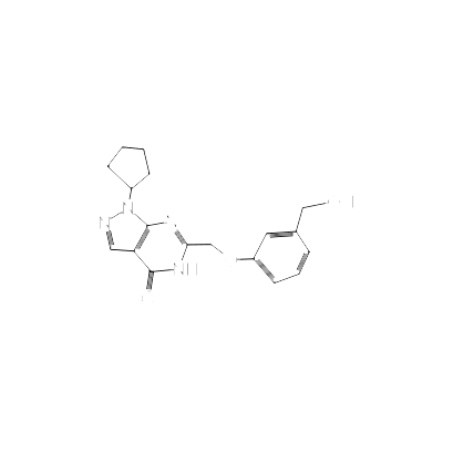 O=c1[nH]c(COc2cccc(CO)c2)nc2c1cnn2C1CCCC1